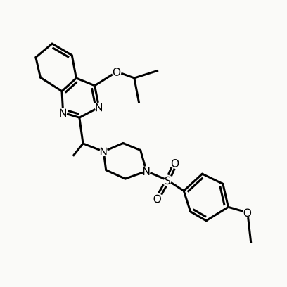 COc1ccc(S(=O)(=O)N2CCN(C(C)c3nc4c(c(OC(C)C)n3)C=CCC4)CC2)cc1